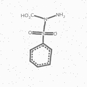 NN(C(=O)O)S(=O)(=O)c1ccccc1